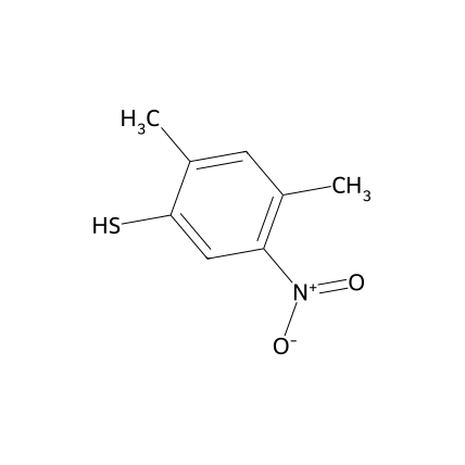 Cc1cc(C)c([N+](=O)[O-])cc1S